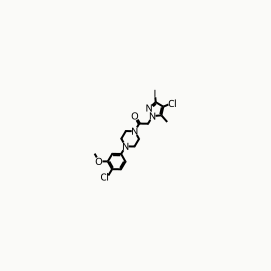 COc1cc(N2CCN(C(=O)Cn3nc(I)c(Cl)c3C)CC2)ccc1Cl